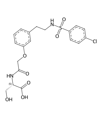 O=C(COc1cccc(CCNS(=O)(=O)c2ccc(Cl)cc2)c1)N[C@@H](CO)C(=O)O